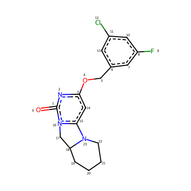 O=c1nc(OCc2cc(F)cc(Cl)c2)cc2n1CC1CCCCN21